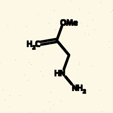 C=C(CNN)OC